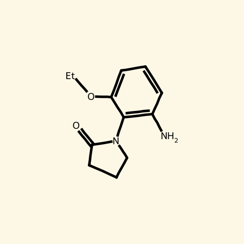 CCOc1cccc(N)c1N1CCCC1=O